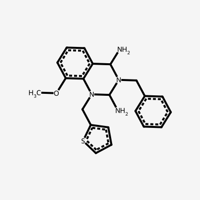 COc1cccc2c1N(Cc1cccs1)C(N)N(Cc1ccccc1)C2N